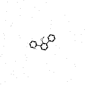 COc1c(-c2ccccc2)cccc1-c1ccccn1